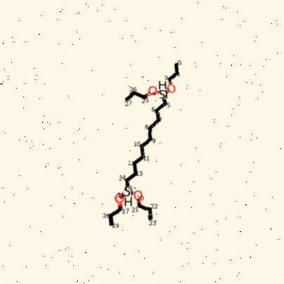 CCCO[SiH](CCCCCCCCCC[SiH](OCCC)OCCC)OCCC